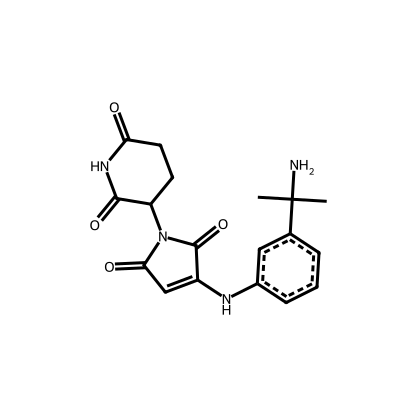 CC(C)(N)c1cccc(NC2=CC(=O)N(C3CCC(=O)NC3=O)C2=O)c1